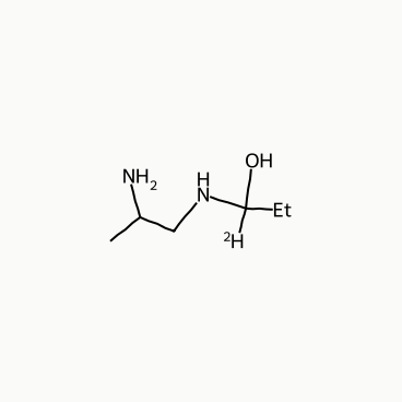 [2H]C(O)(CC)NCC(C)N